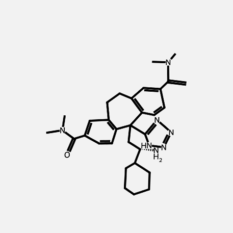 C=C(c1ccc2c(c1)CCc1cc(C(=O)N(C)C)ccc1C2(C[C@H](N)C1CCCCC1)c1nnn[nH]1)N(C)C